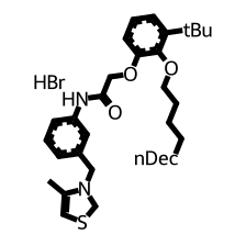 Br.CCCCCCCCCCCCCCOc1c(OCC(=O)Nc2cccc(CN3CSC=C3C)c2)cccc1C(C)(C)C